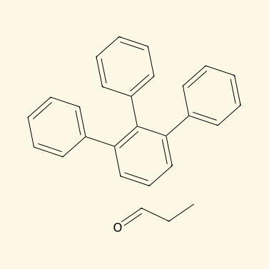 CCC=O.c1ccc(-c2cccc(-c3ccccc3)c2-c2ccccc2)cc1